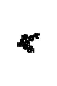 CCN(CC)Cc1ccc(NC(=C2C(=O)Nc3ccc(C(=O)O)cc32)c2cccnc2)cc1